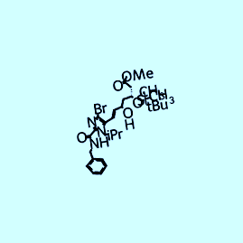 COC(=O)C[C@@H](C[C@@H](O)/C=C/c1c(Br)nc(C(=O)NCc2ccccc2)n1C(C)C)O[Si](C)(C)C(C)(C)C